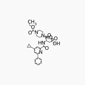 CCOC(=O)N1CCN(C(=O)C(CP(=O)(O)O)NC(=O)c2cc(C3CC3)cc(-c3ccccc3)n2)CC1